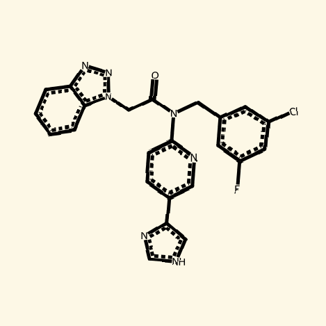 O=C(Cn1nnc2ccccc21)N(Cc1cc(F)cc(Cl)c1)c1ccc(-c2c[nH]cn2)cn1